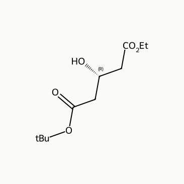 CCOC(=O)C[C@@H](O)CC(=O)OC(C)(C)C